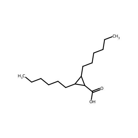 CCCCCCC1C(CCCCCC)C1C(=O)O